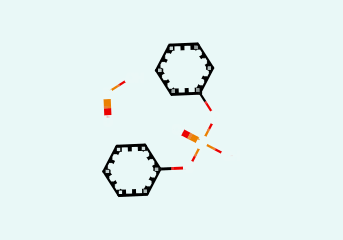 O=P(O)(Oc1ccccc1)Oc1ccccc1.O=PO